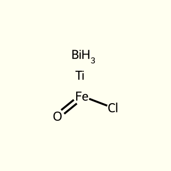 [BiH3].[O]=[Fe][Cl].[Ti]